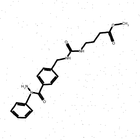 COC(=O)CCCNC(=O)NCc1ccc(C(=O)N(N)c2ccccc2)cc1